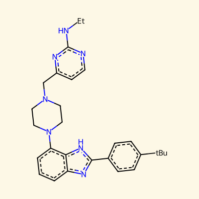 CCNc1nccc(CN2CCN(c3cccc4nc(-c5ccc(C(C)(C)C)cc5)[nH]c34)CC2)n1